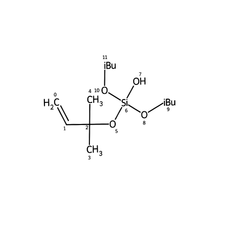 C=CC(C)(C)O[Si](O)(OC(C)CC)OC(C)CC